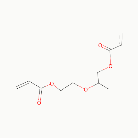 C=CC(=O)OCCOC(C)COC(=O)C=C